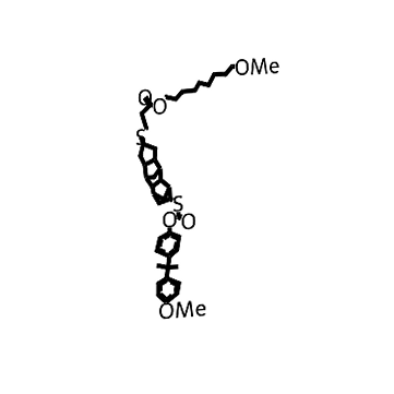 COCCCCCCCCCOC(=O)CCSC1CC2C(C1)C1CC2C2C3CC(SC(=O)Oc4ccc(C(C)(C)c5ccc(OC)cc5)cc4)C(C3)C12